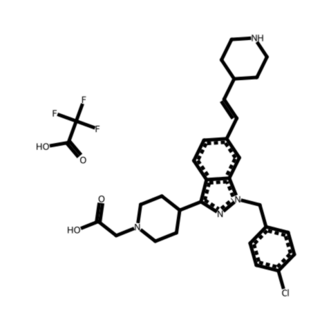 O=C(O)C(F)(F)F.O=C(O)CN1CCC(c2nn(Cc3ccc(Cl)cc3)c3cc(/C=C/C4CCNCC4)ccc23)CC1